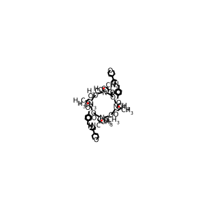 CC(C)C[C@H]1C(=O)O[C@H](Cc2ccc(Cn3cc(C4=CCOCC4)cn3)cc2)C(=O)N(C)[C@@H](CC(C)C)C(=O)O[C@H](C)C(=O)N(C)[C@@H](CC(C)C)C(=O)O[C@H](Cc2ccc(Cn3cc(C4=CCOCC4)cn3)cc2)C(=O)N(C)[C@@H](CC(C)C)C(=O)O[C@H](C)C(=O)N1C